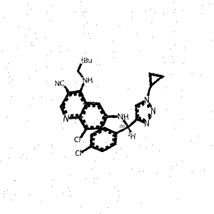 [2H][C@](Nc1cc(Cl)c2ncc(C#N)c(NCC(C)(C)C)c2c1)(c1ccc(Cl)cc1)c1cn(C2CC2)nn1